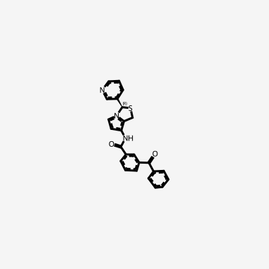 O=C(Nc1ccn2c1CS[C@@H]2c1cccnc1)c1cccc(C(=O)c2ccccc2)c1